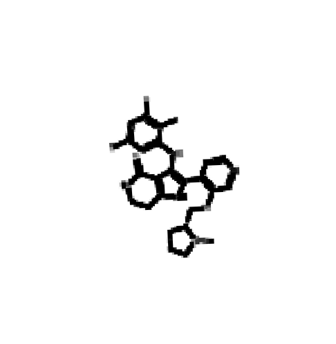 Cc1c(F)cc(F)cc1Nc1c(-c2ccncc2OC[C@@H]2CCCN2C)[nH]c2c1C(=O)NCC2